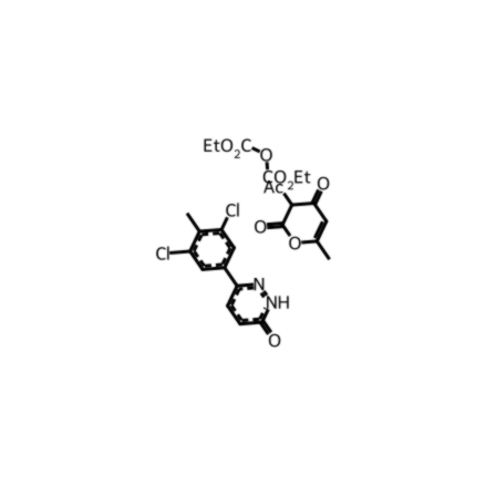 CC(=O)C1C(=O)C=C(C)OC1=O.CCOC(=O)OC(=O)OCC.Cc1c(Cl)cc(-c2ccc(=O)[nH]n2)cc1Cl